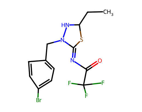 CCC1NN(Cc2ccc(Br)cc2)C(=NC(=O)C(F)(F)F)S1